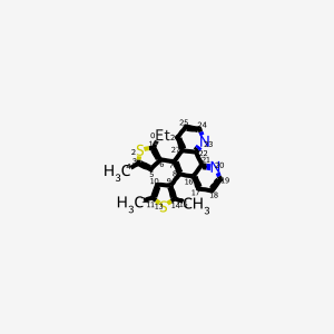 CCc1sc(C)cc1-c1c(-c2cc(C)sc2C)c2cccnc2c2ncccc12